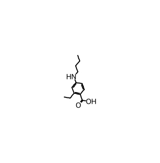 CCCCNc1ccc(C(=O)O)c(CC)c1